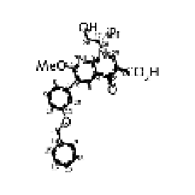 COc1nc2c(cc1-c1cccc(OCc3ccccc3)c1)c(=O)c(C(=O)O)cn2[C@H](CO)C(C)C